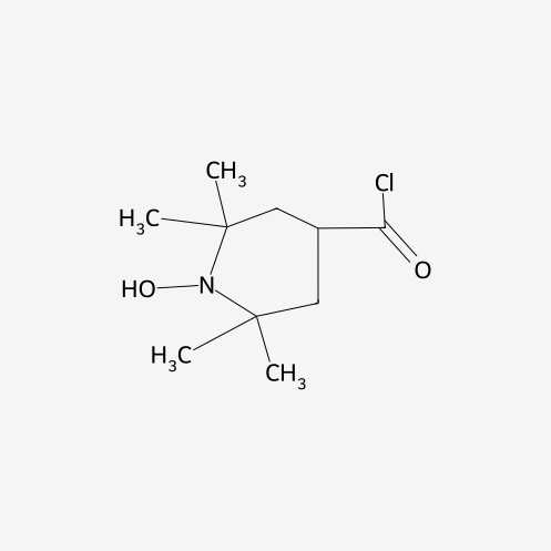 CC1(C)CC(C(=O)Cl)CC(C)(C)N1O